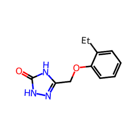 CCc1ccccc1OCc1n[nH]c(=O)[nH]1